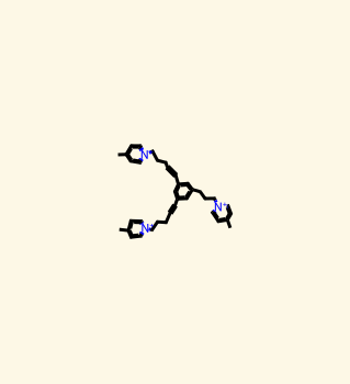 Cc1cc[n+](CCCC#Cc2cc(C#CCCC[n+]3ccc(C)cc3)cc(CCC[n+]3ccc(C)cc3)c2)cc1